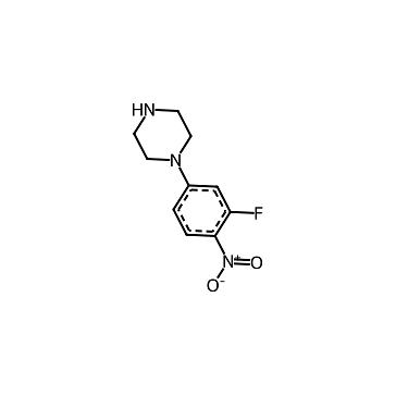 O=[N+]([O-])c1ccc(N2CCNCC2)cc1F